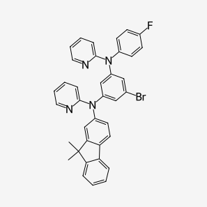 CC1(C)c2ccccc2-c2ccc(N(c3cc(Br)cc(N(c4ccc(F)cc4)c4ccccn4)c3)c3ccccn3)cc21